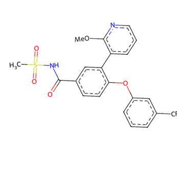 COc1ncccc1-c1cc(C(=O)NS(C)(=O)=O)ccc1Oc1cccc(C(F)(F)F)c1